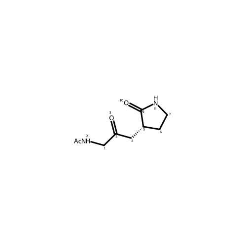 CC(=O)NCC(=O)C[C@H]1CCNC1=O